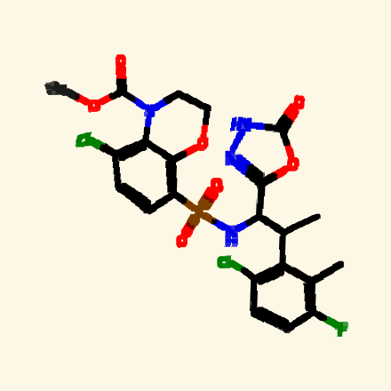 Cc1c(F)ccc(Cl)c1C(C)C(NS(=O)(=O)c1ccc(Cl)c2c1OCCN2C(=O)OC(C)(C)C)c1n[nH]c(=O)o1